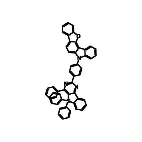 c1ccc(-c2nc(-c3ccc(-n4c5ccccc5c5c6oc7ccccc7c6ccc54)cc3)nc3c2[Si](c2ccccc2)(c2ccccc2)c2ccccc2-3)cc1